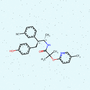 C[C@H](NC(=O)C(C)(C)Oc1ccc(C(F)(F)F)cn1)[C@@H](Cc1ccc(O)cc1)c1cccc(C#N)c1